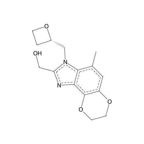 Cc1cc2c(c3nc(CO)n(C[C@@H]4CCO4)c13)OCCO2